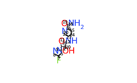 C[C@](O)(Cn1cc(F)cn1)C(=O)Nc1ccc(C(N)=O)nc1